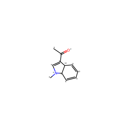 CC(=O)C1=CN(C)C2C=CC=CC12